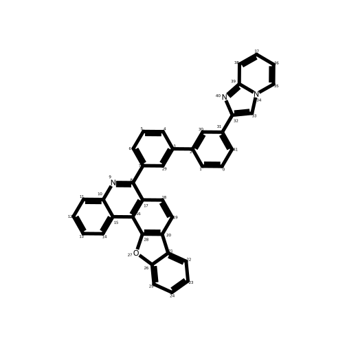 c1cc(-c2cccc(-c3nc4ccccc4c4c3ccc3c5ccccc5oc34)c2)cc(-c2cn3ccccc3n2)c1